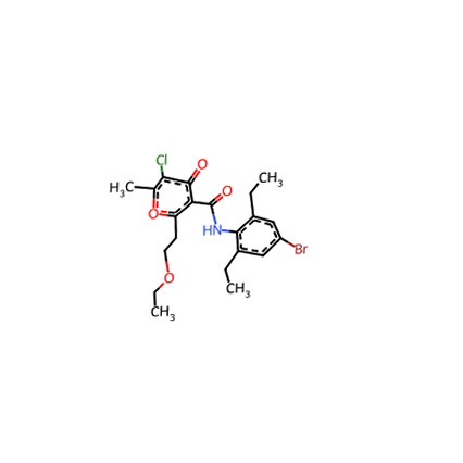 CCOCCc1oc(C)c(Cl)c(=O)c1C(=O)Nc1c(CC)cc(Br)cc1CC